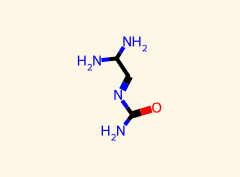 NC(=O)N=CC(N)N